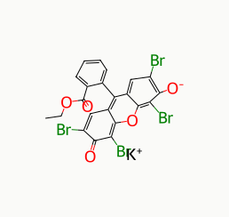 CCOC(=O)c1ccccc1-c1c2cc(Br)c(=O)c(Br)c-2oc2c(Br)c([O-])c(Br)cc12.[K+]